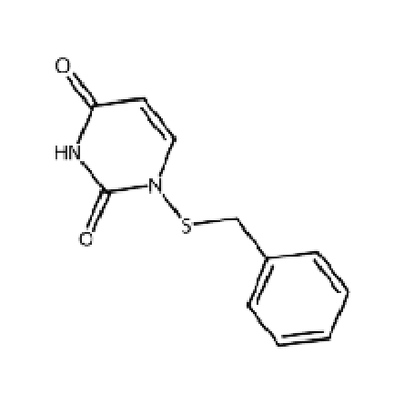 O=c1ccn(SCc2ccccc2)c(=O)[nH]1